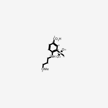 COCCCNc1ccc(C(=O)O)cc1S(C)(=O)=O